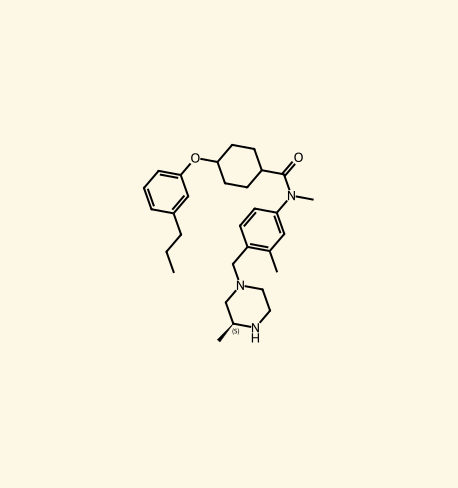 CCCc1cccc(OC2CCC(C(=O)N(C)c3ccc(CN4CCN[C@@H](C)C4)c(C)c3)CC2)c1